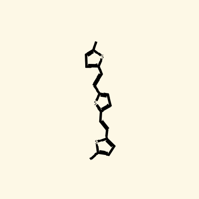 Cc1ccc(/C=C/c2ccc(/C=C/c3ccc(C)s3)s2)s1